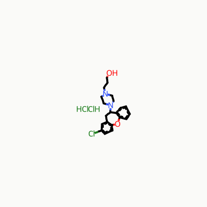 Cl.Cl.OCCCN1CCN(C2Cc3cc(Cl)ccc3Oc3ccccc32)CC1